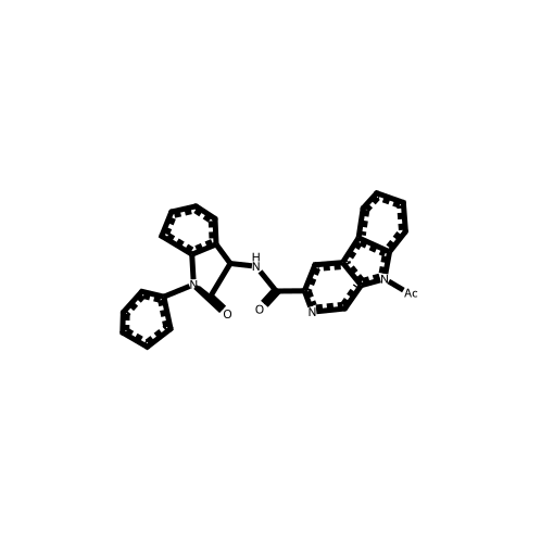 CC(=O)n1c2ccccc2c2cc(C(=O)NC3C(=O)N(c4ccccc4)c4ccccc43)ncc21